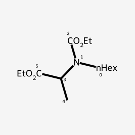 CCCCCCN(C(=O)OCC)C(C)C(=O)OCC